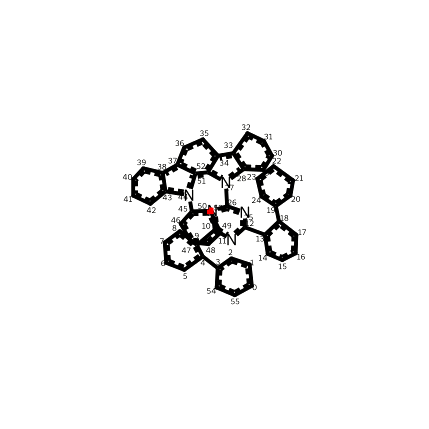 c1ccc(-c2ccccc2-c2nc(-c3ccccc3-c3ccccc3)nc(-n3c4ccccc4c4ccc5c6ccccc6n(-c6ccccc6)c5c43)n2)cc1